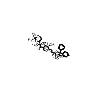 CC[C@@H](C(=O)C(C)(C)[C@@H]1CCOC(C)(C)O1)[C@@H](O)[C@@H](C)CCCC(C)O[Si](c1ccccc1)(c1ccccc1)C(C)(C)C